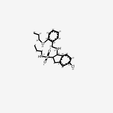 CCCNS(=O)(=O)C1Cc2cc(Cl)ccc2C1NCc1ccccc1OCCC